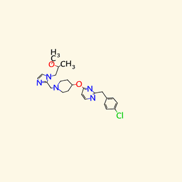 COC(C)Cn1ccnc1CN1CCC(Oc2ccnc(Cc3ccc(Cl)cc3)n2)CC1